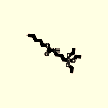 [CH2]CCCCOC(=O)NCCC[Si](OCC)(OCC)OCC